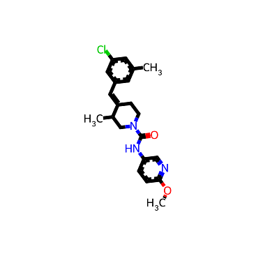 COc1ccc(NC(=O)N2CCC(=Cc3cc(C)cc(Cl)c3)C(C)C2)cn1